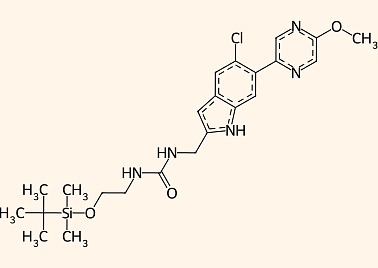 COc1cnc(-c2cc3[nH]c(CNC(=O)NCCO[Si](C)(C)C(C)(C)C)cc3cc2Cl)cn1